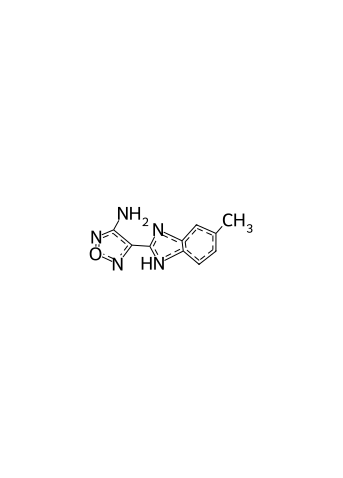 Cc1ccc2[nH]c(-c3nonc3N)nc2c1